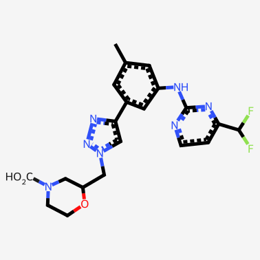 Cc1cc(Nc2nccc(C(F)F)n2)cc(-c2cn(CC3CN(C(=O)O)CCO3)nn2)c1